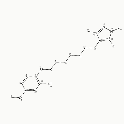 COc1ccc(OCCCCCCCc2c(C)nn(C)c2C)c(Cl)c1